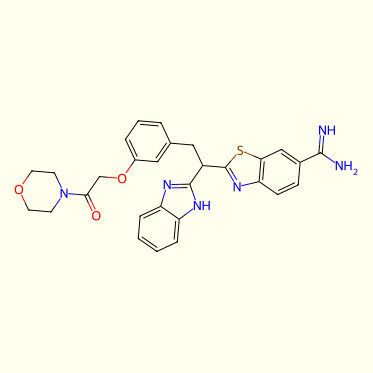 N=C(N)c1ccc2nc(C(Cc3cccc(OCC(=O)N4CCOCC4)c3)c3nc4ccccc4[nH]3)sc2c1